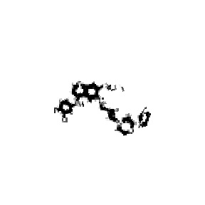 C1=NCCO1.COc1cc2nccc(Nc3ccc(F)c(Cl)c3)c2cc1OCCCN1CCOCC1